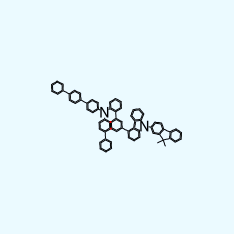 CC1(C)c2ccccc2-c2ccc(-n3c4ccccc4c4c(-c5cccc(-c6ccccc6N(c6ccc(-c7ccccc7)cc6)c6ccc(-c7ccc(-c8ccccc8)cc7)cc6)c5)cccc43)cc21